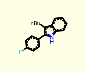 CCC[CH]c1c(-c2ccc(F)cc2)[nH]c2ccccc12